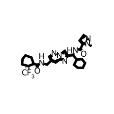 Cn1nccc1C(=O)N[C@H](c1cn2ncc(CNC(=O)C3CCCC[C@H]3C(F)(F)F)cc2n1)C1CCCCC1